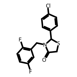 O=C1CSC(c2ccc(Cl)cc2)N1Cc1cc(F)ccc1F